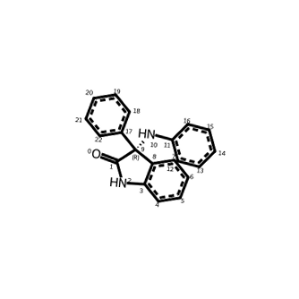 O=C1Nc2ccccc2[C@]1(Nc1ccccc1)c1ccccc1